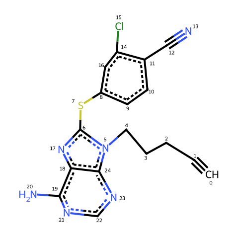 C#CCCCn1c(Sc2ccc(C#N)c(Cl)c2)nc2c(N)ncnc21